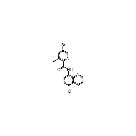 O=C(Nc1ccc(Cl)c2cccnc12)c1ncc(Br)cc1F